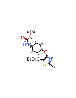 CCOC(=O)c1sc(C)nc1OC1CCC(NC(=O)OC(C)(C)C)CC1